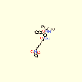 CC(C)C[C@@H](C=O)NC(=O)c1ccc(NC(=O)CCCCCCCCCCN2C(=O)c3ccccc3C2=O)cc1-c1ccc2ccccc2c1